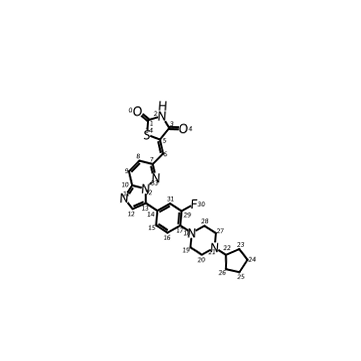 O=C1NC(=O)/C(=C/c2ccc3ncc(-c4ccc(N5CCN(C6CCCC6)CC5)c(F)c4)n3n2)S1